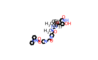 CN(CCNC[C@H](O[Si](C)(C)C(C)(C)C)c1ccc(O)c2[nH]c(=O)ccc12)C(=O)C1CCN(C(=O)CCN2CCC(OC(=O)Nc3ccccc3-c3ccccc3)CC2)CC1